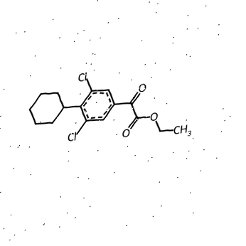 CCOC(=O)C(=O)c1cc(Cl)c(C2CCCCC2)c(Cl)c1